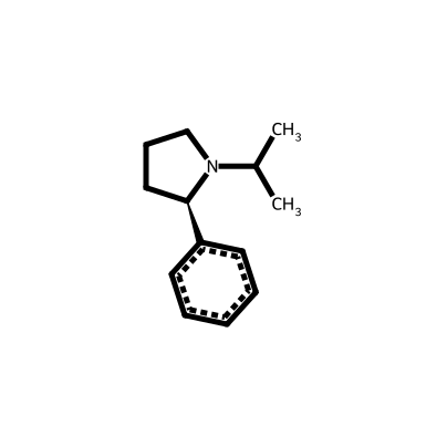 CC(C)N1CCC[C@@H]1c1ccccc1